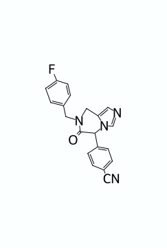 N#Cc1ccc(C2C(=O)N(Cc3ccc(F)cc3)Cc3cncn32)cc1